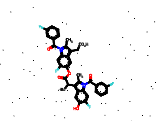 CCC(C)C(C(=O)Oc1cc2c(CC(=O)O)c(C)n(C(=O)c3cccc(F)c3)c2cc1F)c1c(C)n(C(=O)c2cccc(F)c2)c2cc(F)c(O)cc12